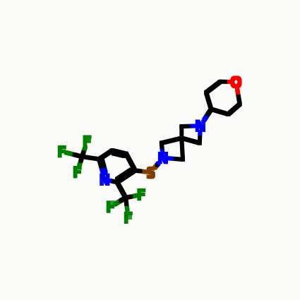 FC(F)(F)c1ccc(SN2CC3(C2)CN(C2CCOCC2)C3)c(C(F)(F)F)n1